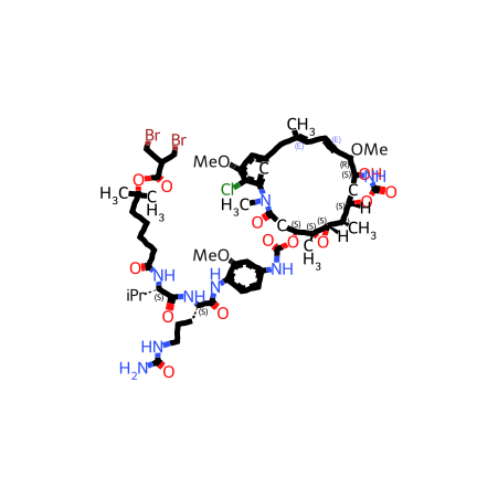 COc1cc(NC(=O)O[C@H]2CC(=O)N(C)c3cc(cc(OC)c3Cl)C/C(C)=C/C=C/[C@@H](OC)[C@@]3(O)C[C@H](OC(=O)N3)[C@@H](C)[C@@H]3O[C@@]23C)ccc1NC(=O)[C@H](CCCNC(N)=O)NC(=O)[C@@H](NC(=O)CCCCC(C)(C)OC(=O)C(CBr)CBr)C(C)C